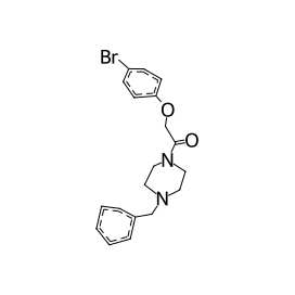 O=C(COc1ccc(Br)cc1)N1CCN(Cc2ccccc2)CC1